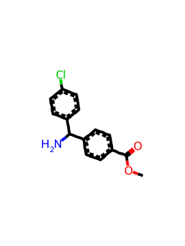 COC(=O)c1ccc(C(N)c2ccc(Cl)cc2)cc1